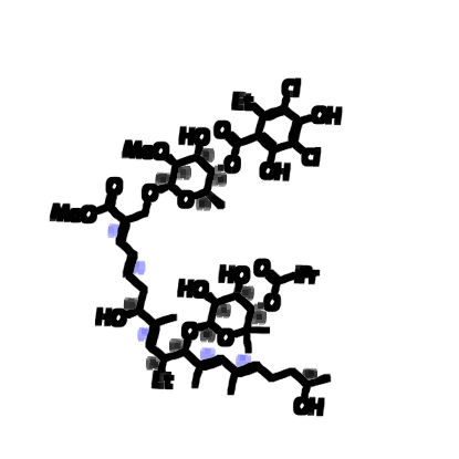 CCc1c(Cl)c(O)c(Cl)c(O)c1C(=O)O[C@H]1[C@H](O)[C@H](OC)[C@H](OC/C(=C\C=C\C[C@H](O)/C(C)=C/[C@H](CC)[C@@H](O[C@@H]2OC(C)(C)[C@@H](OC(=O)C(C)C)[C@H](O)[C@@H]2O)/C(C)=C/C(C)=C/CC[C@@H](C)O)C(=O)OC)O[C@@H]1C